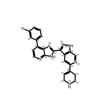 Fc1cccc(-c2ccnc3[nH]c(-c4n[nH]c5cnc(C6=CCNCC6)cc45)nc23)c1